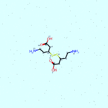 NCCC(CC(=O)O)SSC(CCN)CC(=O)O